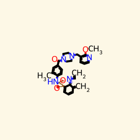 C=C/N=C1\C(=C)C=CC=C1S(=O)(=O)Nc1ccc(C(=O)N2CCN(Cc3cccnc3OC)CC2)cc1C